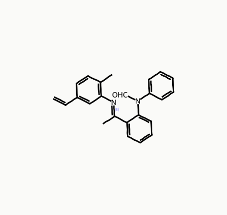 C=Cc1ccc(C)c(/N=C(\C)c2ccccc2N(C=O)c2ccccc2)c1